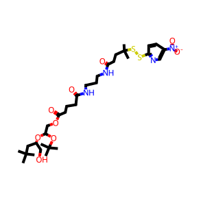 CC(C)(C)CC(CO)OC(COC(=O)CCCC(=O)NCCCNC(=O)CCC(C)(C)SSc1ccc([N+](=O)[O-])cn1)OC(C)(C)C